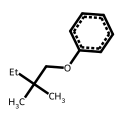 CCC(C)(C)COc1ccccc1